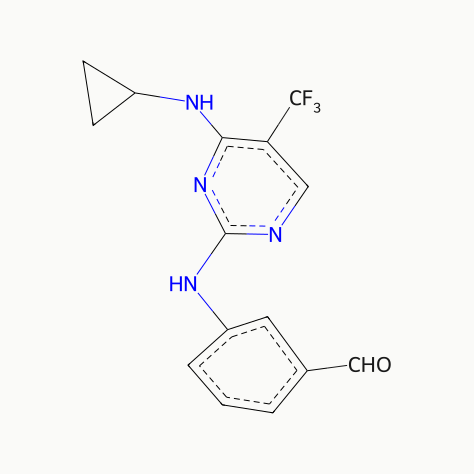 O=Cc1cccc(Nc2ncc(C(F)(F)F)c(NC3CC3)n2)c1